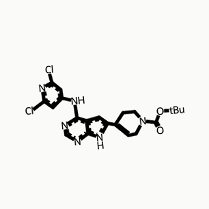 CC(C)(C)OC(=O)N1CC=C(c2cc3c(Nc4cc(Cl)nc(Cl)c4)ncnc3[nH]2)CC1